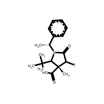 C[C@H](c1ccccc1)N1C(=O)C(F)[C@](C)(C(=O)O)C1C(C)(C)C